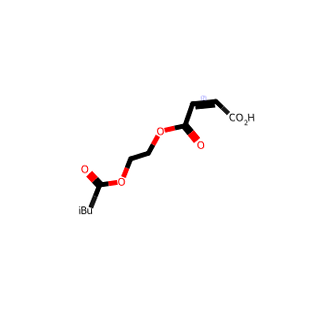 CCC(C)C(=O)OCCOC(=O)/C=C\C(=O)O